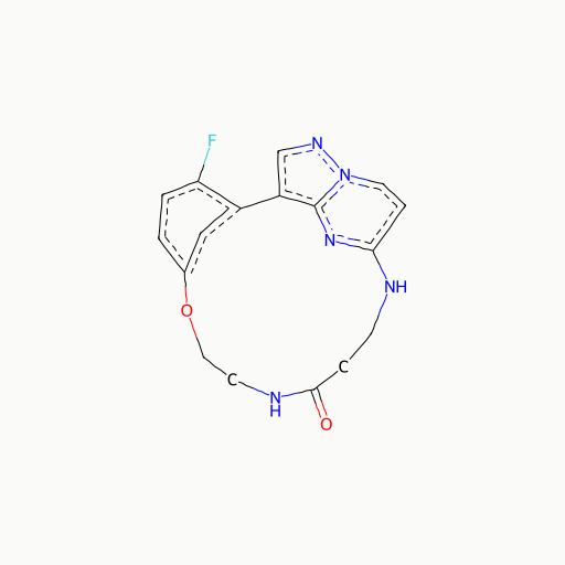 O=C1CCNc2ccn3ncc(c3n2)-c2cc(ccc2F)OCCN1